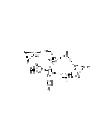 OP(O)(Cl)=S(CC1CC1)CC1CC1